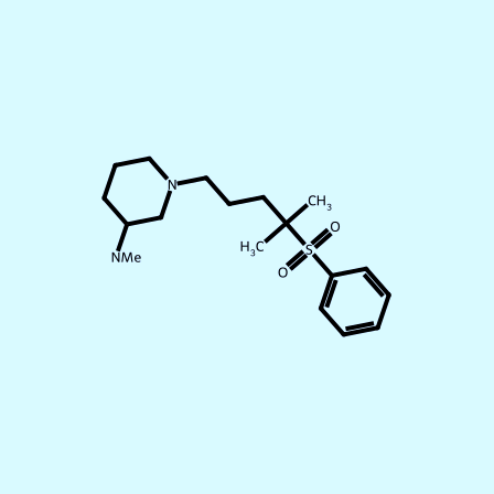 CNC1CCCN(CCCC(C)(C)S(=O)(=O)c2ccccc2)C1